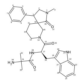 CN1CC(c2ccccc2)C2(CCCN(C(=O)[C@@H](Cc3c[nH]c4ccccc34)NC(=O)C(C)(C)N)C2)C1=O